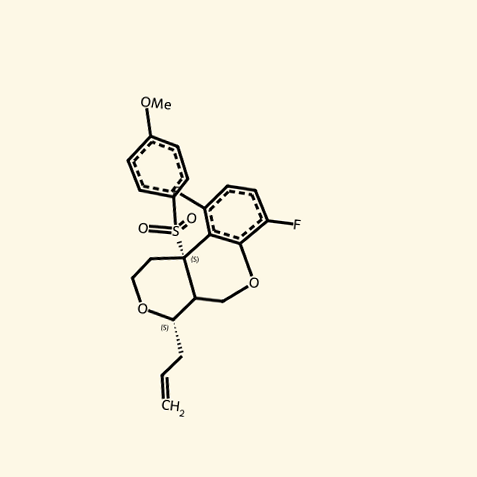 C=CC[C@@H]1OCC[C@@]2(S(=O)(=O)c3ccc(OC)cc3)c3c(F)ccc(F)c3OCC12